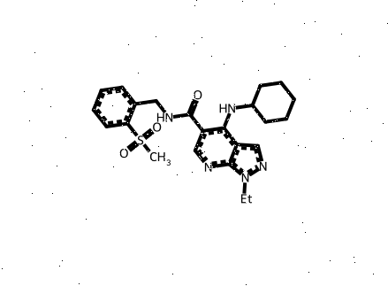 CCn1ncc2c(NC3CCCCC3)c(C(=O)NCc3ccccc3S(C)(=O)=O)cnc21